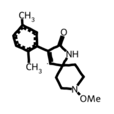 CON1CCC2([C]=C(c3cc(C)ccc3C)C(=O)N2)CC1